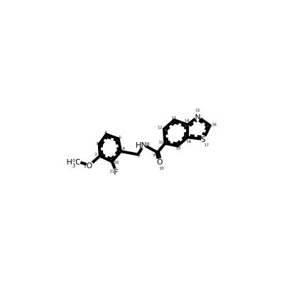 COc1cccc(CNC(=O)c2ccc3ncsc3c2)c1F